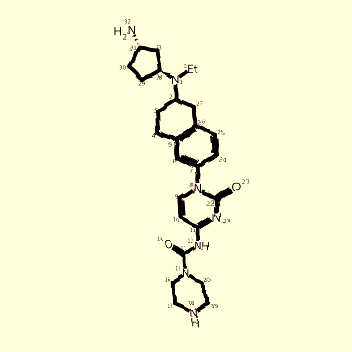 CCN(C1CCc2cc(-n3ccc(NC(=O)N4CCNCC4)nc3=O)ccc2C1)[C@H]1CC[C@H](N)C1